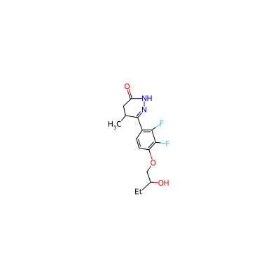 CCC(O)COc1ccc(C2=NNC(=O)CC2C)c(F)c1F